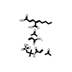 C=CC(=O)NC(C)(C)CS(=O)(=O)O.C=CC(N)=O.CC(C)=O.CC(C)=O.CCCCC=C(C=CC(=O)O)C(=O)O